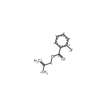 C=C(C)COC(=O)c1ccccc1F